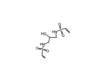 C=CS(=O)(=O)NCC(O)CNS(=O)(=O)C=C